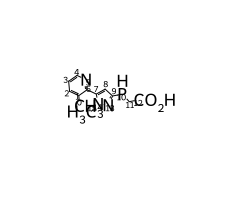 Cc1cccnc1-c1cc(PCC(=O)O)nn1C